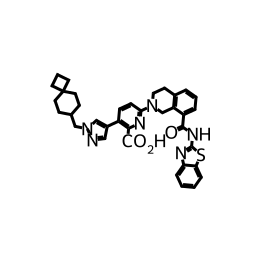 O=C(Nc1nc2ccccc2s1)c1cccc2c1CN(c1ccc(-c3cnn(CC4CCC5(CCC5)CC4)c3)c(C(=O)O)n1)CC2